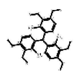 CCc1ccc(C(c2ccc(CC)c(CC)c2N)c2ccc(CC)c(CC)c2N)c(N)c1CC